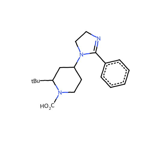 CC(C)(C)C1CC(N2CCN=C2c2ccccc2)CCN1C(=O)O